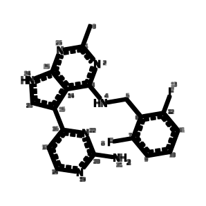 Cc1nc(NCc2c(F)cccc2F)c2c(-c3ccnc(N)n3)c[nH]c2n1